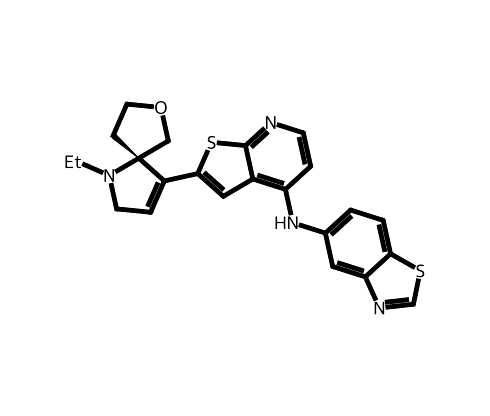 CCN1CC=C(c2cc3c(Nc4ccc5scnc5c4)ccnc3s2)[C@]12CCOC2